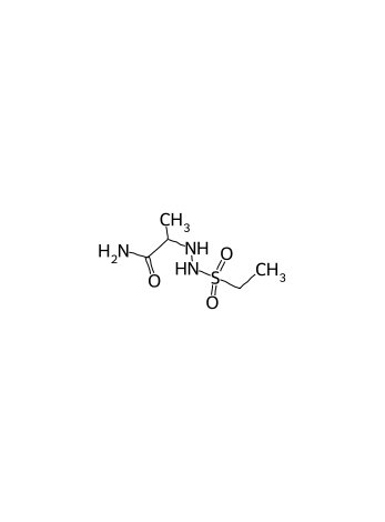 CCS(=O)(=O)NNC(C)C(N)=O